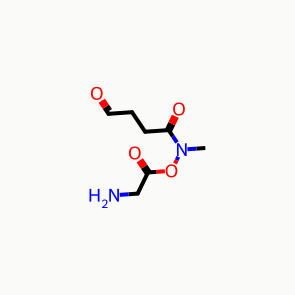 CN(OC(=O)CN)C(=O)CCC=O